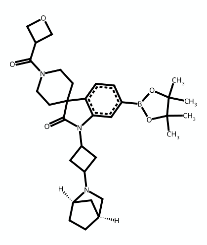 CC1(C)OB(c2ccc3c(c2)N(C2CC(N4C[C@H]5CC[C@@H]4C5)C2)C(=O)C32CCN(C(=O)C3COC3)CC2)OC1(C)C